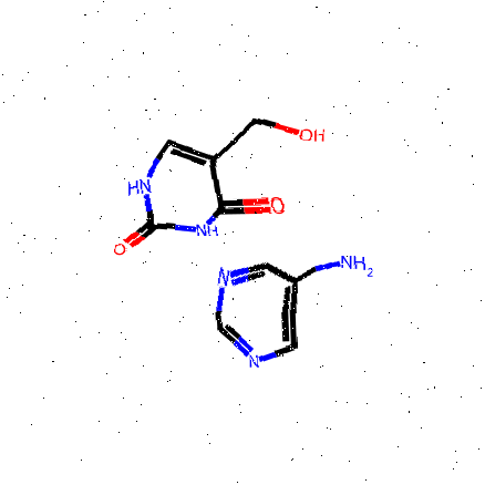 Nc1cncnc1.O=c1[nH]cc(CO)c(=O)[nH]1